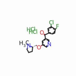 CN1CCC[C@H]1COc1cncc(C(=O)c2ccc(F)c(Cl)c2)c1.Cl.Cl